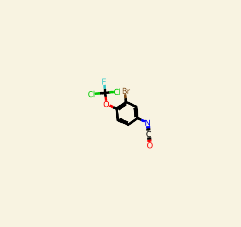 O=C=Nc1ccc(OC(F)(Cl)Cl)c(Br)c1